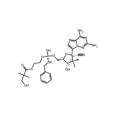 CC(C)(CO)C(=O)SCCO[PH](O)(NCc1ccccc1)OC[C@H]1O[C@@](C#N)(c2cnc3c(N)nc(N)nn23)[C@](C)(F)[C@@H]1O